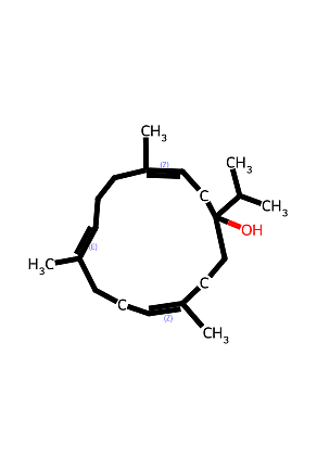 C/C1=C/CC(O)(C(C)C)CC/C(C)=C\CC/C(C)=C/CC1